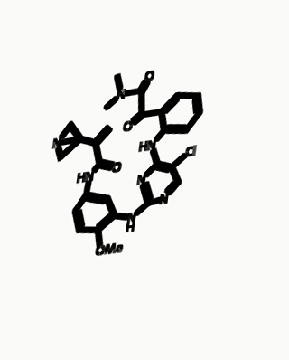 C=C(C(=O)Nc1ccc(OC)c(Nc2ncc(Cl)c(Nc3ccccc3C(=O)C(=O)N(C)C)n2)c1)C12CN1C2